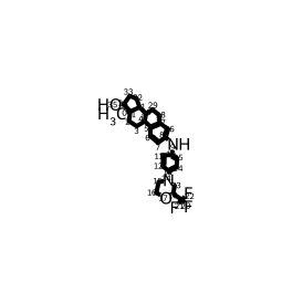 CC12CCC3c4ccc(Nc5ccc(N6CCOC(C(F)(F)F)C6)cc5)cc4CCC3C1CCC2O